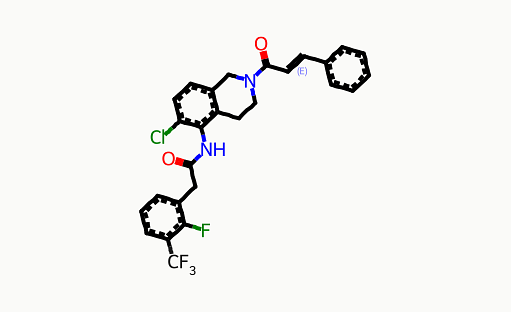 O=C(Cc1cccc(C(F)(F)F)c1F)Nc1c(Cl)ccc2c1CCN(C(=O)/C=C/c1ccccc1)C2